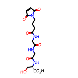 O=C(CCCN1C(=O)C=CC1=O)NCC(=O)NCC(=O)N[C@@H](CO)C(=O)O